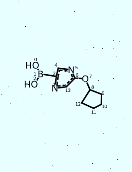 OB(O)c1cnc(OC2CCCC2)cn1